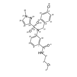 COCCNC(=O)c1cccc(N(Cc2ccc(Cl)cc2)S(=O)(=O)c2ccn(C)n2)c1